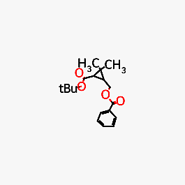 CC(C)(C)OC(=O)C1C(COC(=O)c2ccccc2)C1(C)C